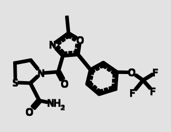 Cc1nc(C(=O)N2CCSC2C(N)=O)c(-c2cccc(OC(F)(F)F)c2)o1